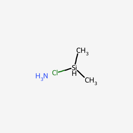 C[SiH](C)Cl.N